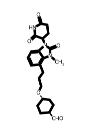 Cn1c(=O)n(C2CCC(=O)NC2=O)c2cccc(CCCO[C@H]3CC[C@H](C=O)CC3)c21